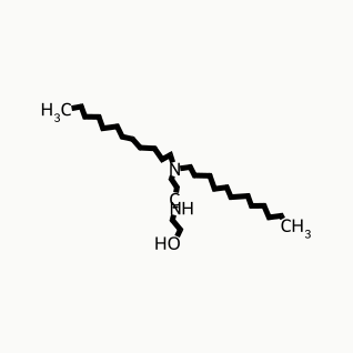 CCCCCCCCCCCCN(CCCCCCCCCCCC)CCCNCCO